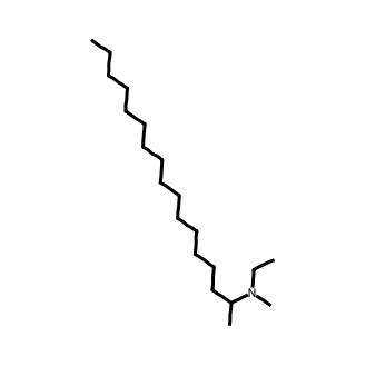 CCCCCCCCCCCCCCCC(C)N(C)CC